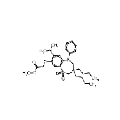 CCCCC1(CCCC)CN(c2ccccc2)c2cc(N(C)C)c(OCC(=O)OC)cc2S(=O)(=O)C1